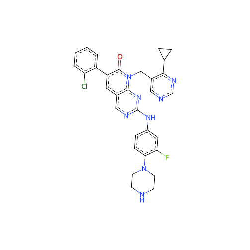 O=c1c(-c2ccccc2Cl)cc2cnc(Nc3ccc(N4CCNCC4)c(F)c3)nc2n1Cc1cncnc1C1CC1